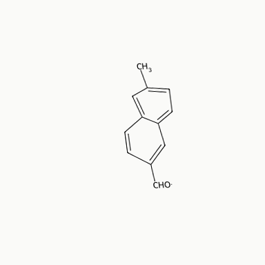 Cc1ccc2cc([C]=O)ccc2c1